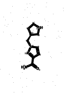 NC(=O)c1ccn(C[C@H]2CCNC2)n1